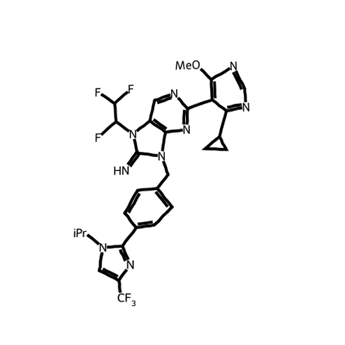 COc1ncnc(C2CC2)c1-c1ncc2c(n1)n(Cc1ccc(-c3nc(C(F)(F)F)cn3C(C)C)cc1)c(=N)n2C(F)C(F)F